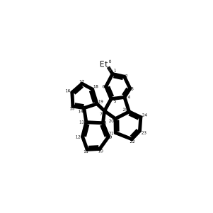 CCc1ccc2c(c1)C1(c3ccccc3-c3ccccc31)c1ccccc1-2